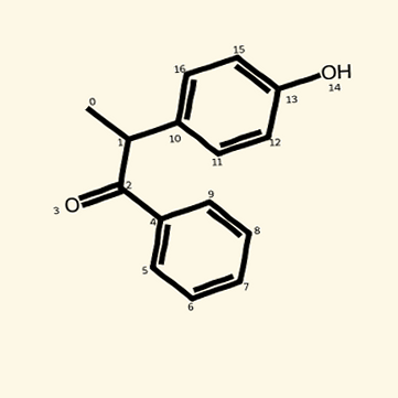 CC(C(=O)c1ccccc1)c1ccc(O)cc1